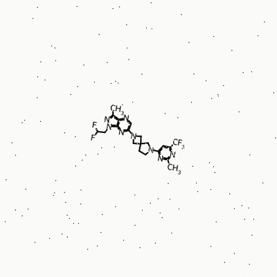 Cc1nc(N2CCC3(C2)CN(c2cnc4c(C)nn(CC(F)F)c4n2)C3)cc(C(F)(F)F)n1